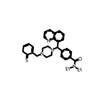 CCN(CC)C(=O)c1ccc(C(c2cccc3cccnc23)N2CCN(CC3=CC=CCC3=S)CC2)cc1